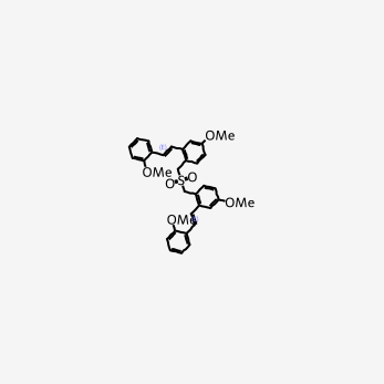 COc1ccc(CS(=O)(=O)Cc2ccc(OC)cc2/C=C/c2ccccc2OC)c(/C=C/c2ccccc2OC)c1